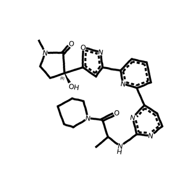 CC(Nc1nccc(-c2cccc(-c3cc([C@]4(O)CCN(C)C4=O)on3)n2)n1)C(=O)N1CCCCC1